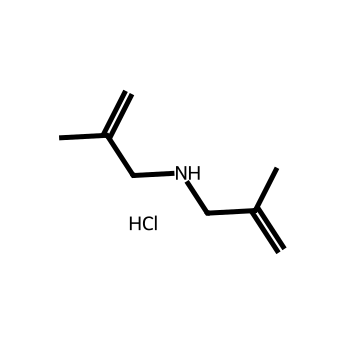 C=C(C)CNCC(=C)C.Cl